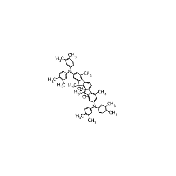 Cc1ccc(N(c2ccc(C)c(C)c2)c2cc(C)c3c(c2)C(C)(C)c2c-3ccc3c2C(C)(C)c2cc(N(c4ccc(C)c(C)c4)c4ccc(C)c(C)c4)cc(C)c2-3)cc1C